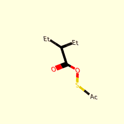 CCC(CC)C(=O)OSC(C)=O